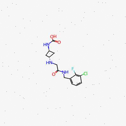 O=C(CN[C@H]1C[C@H](NC(=O)O)C1)NCc1cccc(Cl)c1F